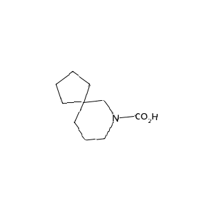 O=C(O)N1CCCC2(CCCC2)C1